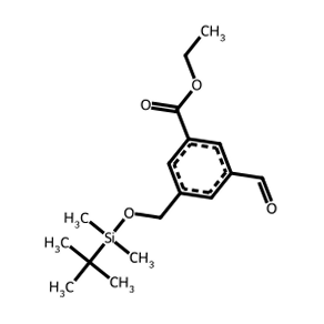 CCOC(=O)c1cc(C=O)cc(CO[Si](C)(C)C(C)(C)C)c1